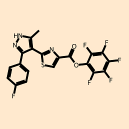 Cc1[nH]nc(-c2ccc(F)cc2)c1-c1nc(C(=O)Oc2c(F)c(F)c(F)c(F)c2F)cs1